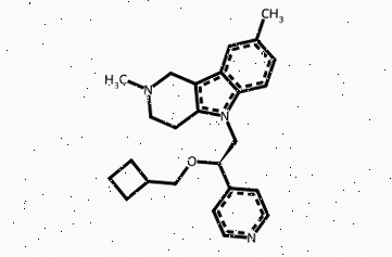 Cc1ccc2c(c1)c1c(n2C[C@H](OCC2CCC2)c2ccncc2)CCN(C)C1